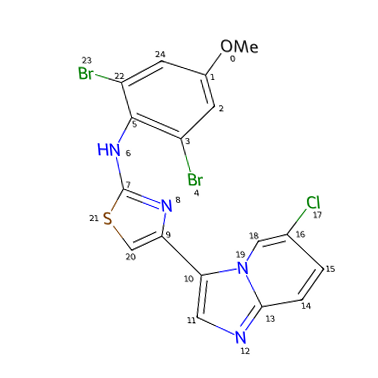 COc1cc(Br)c(Nc2nc(-c3cnc4ccc(Cl)cn34)cs2)c(Br)c1